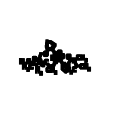 CC(C)C[C@@H](NC(=O)c1ccccc1OCC(=O)OC(C)(C)C)C(=O)N1CCC[C@@H]1C(=O)N(C)C(C)C